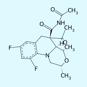 CC(=O)NC(=O)[C@]1(C(C)=O)Cc2cc(F)cc(F)c2N2C[C@@H](C)O[C@@H](C)[C@@H]21